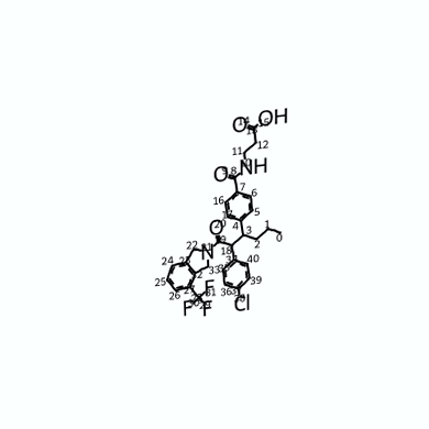 CCCC(c1ccc(C(=O)NCCC(=O)O)cc1)C(C(=O)N1Cc2cccc(C(F)(F)F)c2C1)c1ccc(Cl)cc1